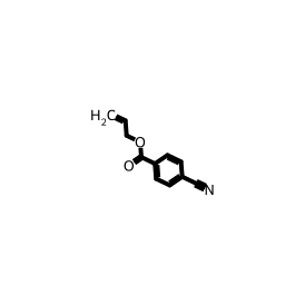 C=CCOC(=O)c1ccc(C#N)cc1